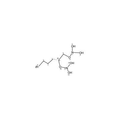 CC(C)CCC[C@H](CON(O)O)ON(O)O